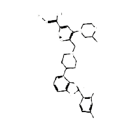 CC1CN(c2cc(/C(N)=N/O)nnc2CN2CCC(c3cccc4c3O[C@@](C)(c3ccc(Cl)cc3F)O4)CC2)CCO1